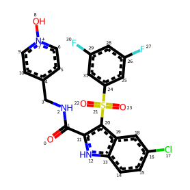 O=C(NCc1cc[n+](O)cc1)c1[nH]c2ccc(Cl)cc2c1S(=O)(=O)c1cc(F)cc(F)c1